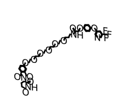 O=C(COc1ccc(Oc2cncc(C(F)(F)F)c2)cc1)NCCCOCCOCCOCCOCCOCCOc1ccc2c(c1)C(=O)N(C1CCC(=O)NC1=O)C2=O